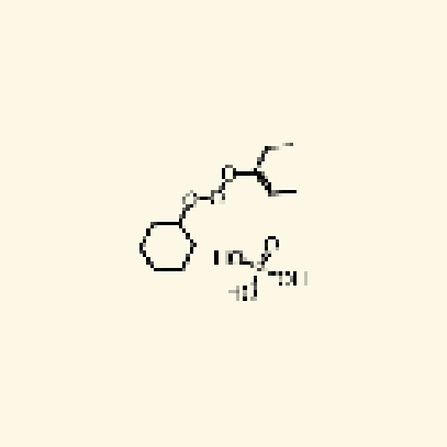 CC=C(CC)OOOC1CCCCC1.O=P(O)(O)O